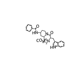 NC(Cc1c[nH]c2ccccc12)C(=O)N1CCC(NC(=O)c2ccccc2)CC1C(=O)O